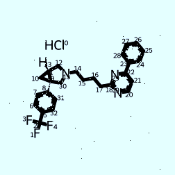 Cl.FC(F)(F)c1ccc([C@]23C[C@H]2CN(CCCCc2nccc(-c4ccccc4)n2)C3)cc1